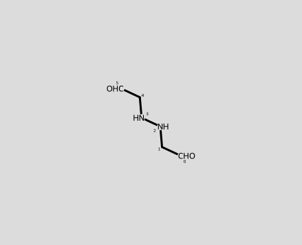 O=CCNNCC=O